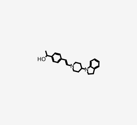 CC(O)c1ccc(C=CN2CCC(N3CCc4ccccc43)CC2)cc1